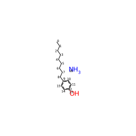 CCCCCCCCCc1ccc(O)cc1.N